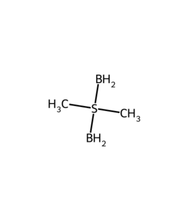 BS(B)(C)C